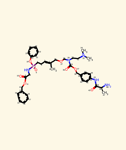 C/C(=C\CCP(=O)(NCC(=O)OCc1ccccc1)Oc1ccccc1)COCN(CCN(C)C)C(=O)OCc1ccc(NC(=O)[C@H](C)N)cc1